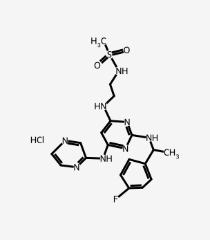 CC(Nc1nc(NCCNS(C)(=O)=O)cc(Nc2cnccn2)n1)c1ccc(F)cc1.Cl